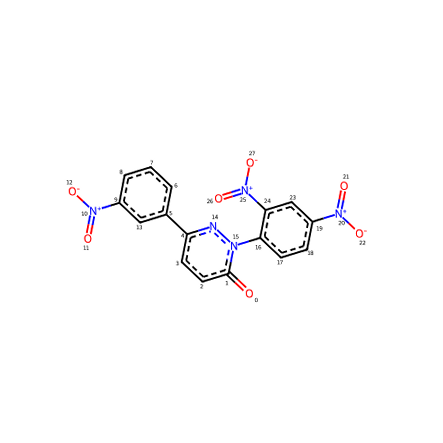 O=c1ccc(-c2cccc([N+](=O)[O-])c2)nn1-c1ccc([N+](=O)[O-])cc1[N+](=O)[O-]